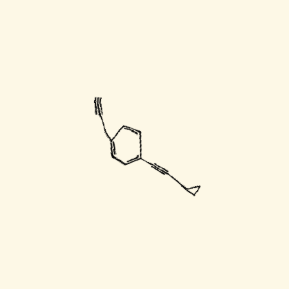 C#CCc1ccc(C#CC2CC2)cc1